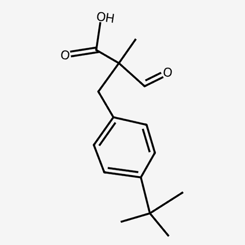 CC(C=O)(Cc1ccc(C(C)(C)C)cc1)C(=O)O